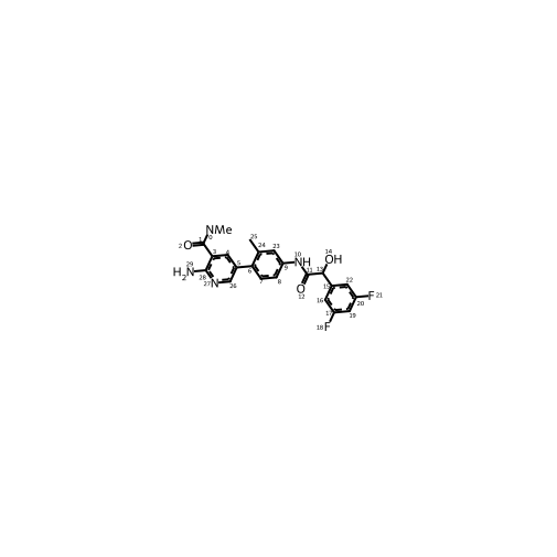 CNC(=O)c1cc(-c2ccc(NC(=O)C(O)c3cc(F)cc(F)c3)cc2C)cnc1N